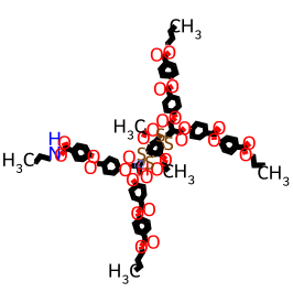 CCCCNOC(=O)c1ccc(OC(=O)C2CCC(OC(=O)/C(C(=O)OC3CCC(C(=O)Oc4ccc(C(=O)OCCCC)cc4)CC3)=C3\Sc4c(OC(C)=O)c5c(c(OC(C)O)c4S3)SC(=C(C(=O)OC3CCC(C(=O)Oc4ccc(C(=O)OCCCC)cc4)CC3)C(=O)OC3CCC(C(=O)Oc4ccc(C(=O)OCCCC)cc4)CC3)S5)CC2)cc1